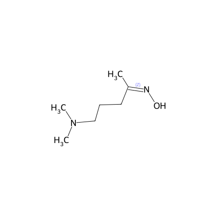 C/C(CCCN(C)C)=N/O